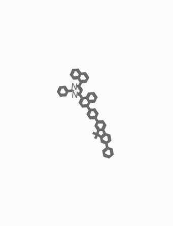 CC1(C)c2cc(-c3ccccc3)ccc2-c2ccc(-c3ccc(-c4ccc(-c5cc(-c6cccc7ccccc67)nc(-c6ccccc6)n5)c5ccccc45)cc3)cc21